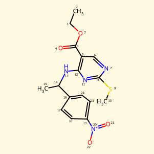 CCOC(=O)c1cnc(SC)nc1NC(C)c1ccc([N+](=O)[O-])cc1